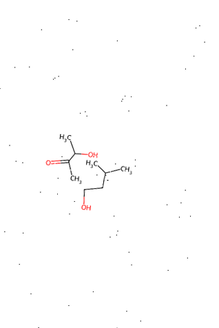 CC(=O)C(C)O.CC(C)CCO